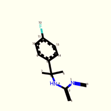 C=NC(=C)NC(C)(C)c1ccc(F)cc1